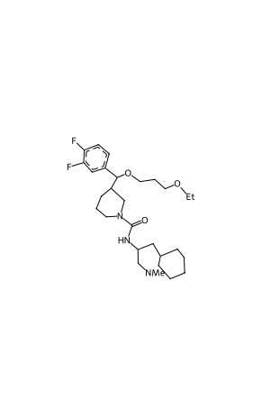 CCOCCCOC(c1ccc(F)c(F)c1)C1CCCN(C(=O)NC(CNC)CC2CCCCC2)C1